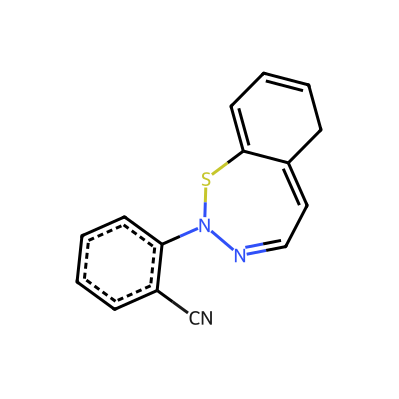 N#Cc1ccccc1N1N=CC=C2CC=CC=C2S1